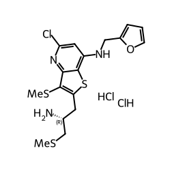 CSC[C@H](N)Cc1sc2c(NCc3ccco3)cc(Cl)nc2c1SC.Cl.Cl